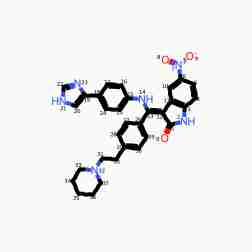 O=C1Nc2ccc([N+](=O)[O-])cc2C1=C(Nc1ccc(-c2c[nH]cn2)cc1)c1ccc(CCN2CCCCC2)cc1